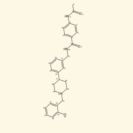 CC(=O)Nc1ccc(C(=O)NCc2cccc(C3CCN(Cc4ccccc4Cl)CC3)c2)cc1